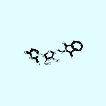 CO[C@@H]1[C@H](O)[C@@H](CON2C(=O)c3ccccc3C2=O)O[C@H]1n1ccc(=O)[nH]c1=O